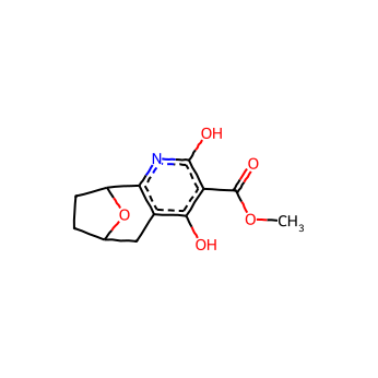 COC(=O)c1c(O)nc2c(c1O)CC1CCC2O1